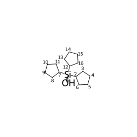 O[Si](C1CCCC1)(C1CCCC1)C1CCCC1